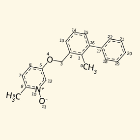 Cc1c(COc2ccc(C)[n+]([O-])c2)cccc1-c1ccccc1